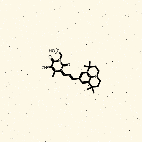 [C-]#[N+]C1=C(C)/C(=C/C=C/c2cc3c4c(c2)C(C)(C)CCN4CCC3(C)C)C(=O)N(CC(=O)O)C1=O